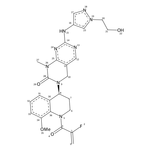 C=C(F)C(=O)N1CC[C@H](N2Cc3cnc(Nc4cnn(CCO)c4)nc3N(C)C2=O)c2cccc(OC)c21